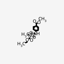 CCOC(=O)N(C)S(=O)(=O)Nc1ccc(C(=O)OC)cc1